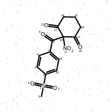 CS(=O)(=O)c1ccc(C(=O)C2([N+](=O)[O-])C(=O)CCCC2=O)cc1